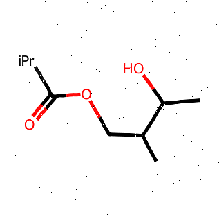 CC(C)C(=O)OCC(C)C(C)O